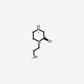 CC(C)CCN1CCNCC1=O